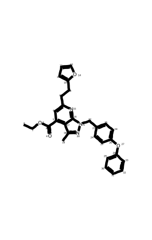 CCOC(=O)c1cc(CCc2ccco2)nc2c1c(C)nn2Cc1ccc(Oc2ccccc2)cc1